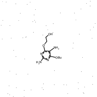 CC(C)COc1nc(N)nc(OCCO)c1N